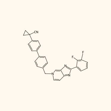 N#CC1(c2ccc(-c3ccc(Cn4ccc5nc(-c6cccc(F)c6F)nc-5c4)cc3)cc2)CC1